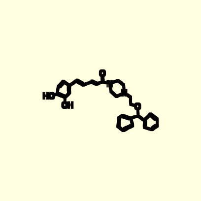 O=C(C=CC=Cc1ccc(O)c(O)c1)N1CCN(CCOC(c2ccccc2)c2ccccc2)CC1